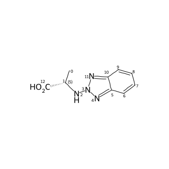 C[C@H](Nn1nc2ccccc2n1)C(=O)O